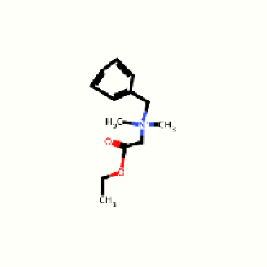 CCOC(=O)C[N+](C)(C)Cc1ccccc1